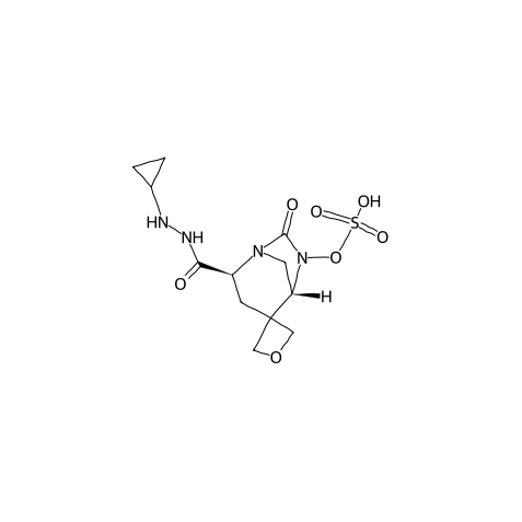 O=C(NNC1CC1)[C@@H]1CC2(COC2)[C@@H]2CN1C(=O)N2OS(=O)(=O)O